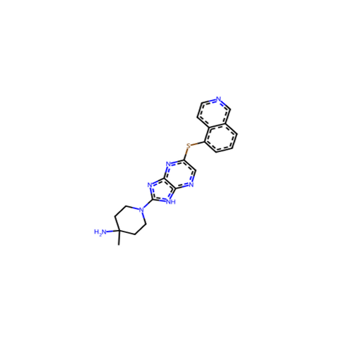 CC1(N)CCN(c2nc3nc(Sc4cccc5cnccc45)cnc3[nH]2)CC1